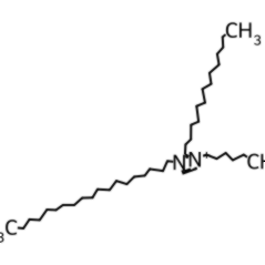 CCCCCCCCCCCCCCCCCCCn1cc[n+](CCCCCC)c1CCCCCCCCCCCCCC